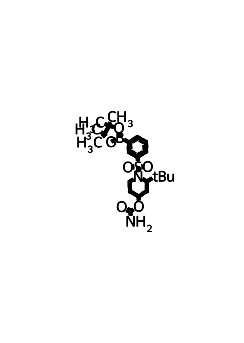 CC(C)(C)C1CC(OC(N)=O)CCN1S(=O)(=O)c1cccc(B2OC(C)(C)C(C)(C)O2)c1